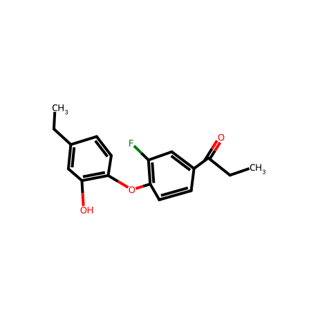 CCC(=O)c1ccc(Oc2ccc(CC)cc2O)c(F)c1